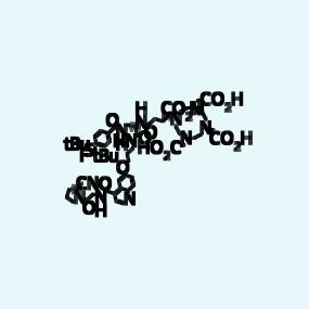 CC(C)(C)[Si](F)(c1ccc(C(=O)NC[C@@H](NC(=O)CC[C@H](C(=O)O)N2CCN(CC(=O)O)CCN(CC(=O)O)CCN(CC(=O)O)CC2)C(=O)NCCCOc2ccc3nccc(C(=O)NCC(=O)N4CCC[C@H]4C#N)c3c2)cc1)C(C)(C)C